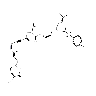 COC1=CC[C@@H]([C@@H](C)/C=C(C)/C=C\C#CC(=O)N[C@H](C(=O)N/C=C\C[C@H](C/C=C(\C)Cl)OC(C)S(=O)(=O)c2ccc(Br)cc2)C(C)(C)C)OC1=O